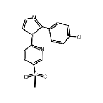 CS(=O)(=O)c1ccc(-n2ccnc2-c2ccc(Cl)cc2)nc1